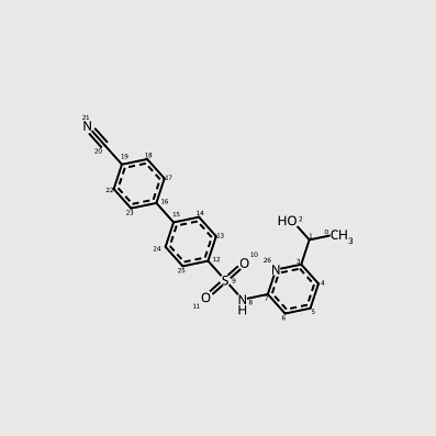 CC(O)c1cccc(NS(=O)(=O)c2ccc(-c3ccc(C#N)cc3)cc2)n1